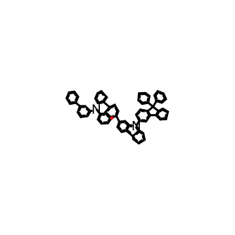 c1ccc(-c2cccc(N(c3ccccc3)c3ccccc3-c3ccc(-c4ccc5c6ccccc6n(-c6ccc7c(c6)-c6ccccc6C7(c6ccccc6)c6ccccc6)c5c4)cc3)c2)cc1